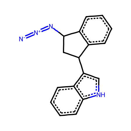 [N-]=[N+]=NC1CC(c2c[nH]c3ccccc23)c2ccccc21